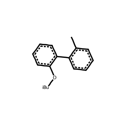 CCC(C)Oc1ccccc1-c1ccccc1C